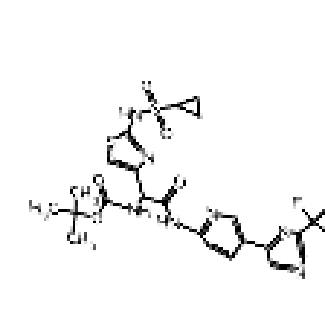 CC(C)(C)OC(=O)NC(C(=O)Nc1ccc(-c2cncc(C(F)(F)F)n2)cn1)c1csc(NS(=O)(=O)C2CC2)n1